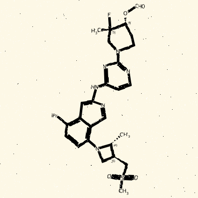 CC(C)c1ccc(N2C[C@H](CS(C)(=O)=O)[C@H]2C)c2cnc(Nc3ccnc(N4CC[C@@H](OC=O)[C@@](C)(F)C4)n3)cc12